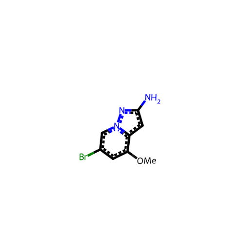 COc1cc(Br)cn2nc(N)cc12